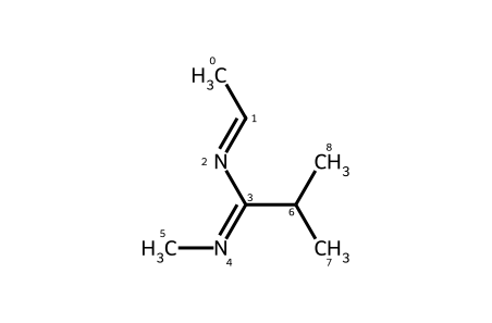 C/C=N/C(=N\C)C(C)C